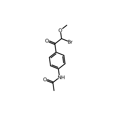 COC(Br)C(=O)c1ccc(NC(C)=O)cc1